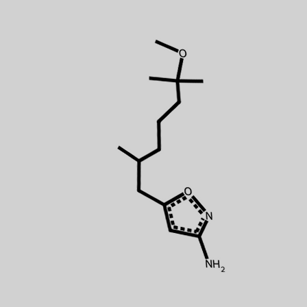 COC(C)(C)CCCC(C)Cc1cc(N)no1